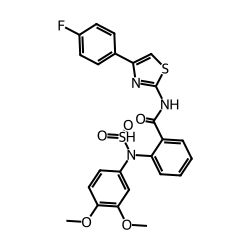 COc1ccc(N(c2ccccc2C(=O)Nc2nc(-c3ccc(F)cc3)cs2)[SH](=O)=O)cc1OC